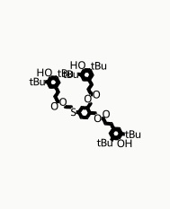 CC(C)(C)c1cc(CCC(=O)OCCSC2CCC(COC(=O)CCc3cc(C(C)(C)C)c(O)c(C(C)(C)C)c3)C(COC(=O)CCc3cc(C(C)(C)C)c(O)c(C(C)(C)C)c3)C2)cc(C(C)(C)C)c1O